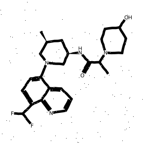 CC(C(=O)N[C@@H]1C[C@H](C)CN(c2ccc(C(F)F)c3ncccc23)C1)N1CCC(O)CC1